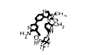 Cc1nc(N2CC(F)(F)C(F)(F)C2)ccc1-n1c(=O)n(C)c2cnc3ccc(-c4cnc(N)c(CO)c4)cc3c21